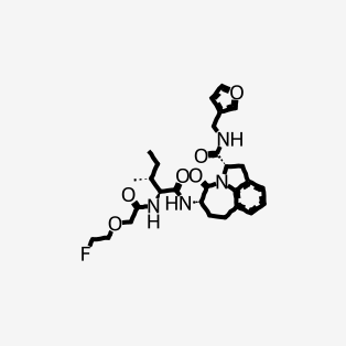 CC[C@@H](C)[C@H](NC(=O)COCCF)C(=O)N[C@H]1CCc2cccc3c2N(C1=O)[C@H](C(=O)NCc1ccoc1)C3